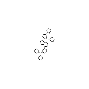 c1ccc(N(c2ccccc2)c2ccc3oc4cc(N(c5ccccc5)c5cccc6c5sc5ccccc56)c5ccccc5c4c3c2)cc1